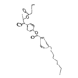 CCCCCCCCc1ccc(C(=O)Oc2ccc(C(=O)C(C)OC(=O)CCC)cc2)cc1